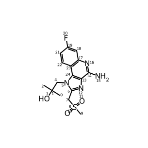 CC(C)(O)Cn1c(CS(C)(=O)=O)nc2c(N)nc3cc(F)ccc3c21